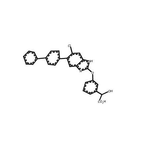 O=C(O)C(O)c1cccc(Oc2nc3cc(-c4ccc(-c5ccccc5)cc4)c(Cl)cc3[nH]2)c1